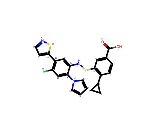 O=C(O)c1ccc(C2CC2)c(SNc2cc(-c3ccns3)c(Cl)cc2-n2cccc2)c1